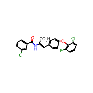 O=C(O)/C(=C\c1ccc(Oc2c(F)cccc2Cl)cc1)NC(=O)c1cccc(Cl)c1